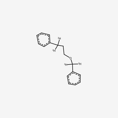 [2H]C([2H])(CCOC([2H])([2H])c1ccccc1)c1ccccc1